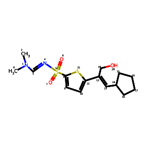 CN(C)C=NS(=O)(=O)c1ccc(C(=CC2CCCC2)CO)s1